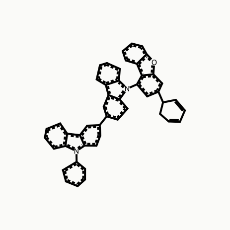 C1=CCC(c2cc(-n3c4ccccc4c4cc(-c5ccc6c(c5)c5ccccc5n6-c5ccccc5)ccc43)c3c(c2)oc2ccccc23)C=C1